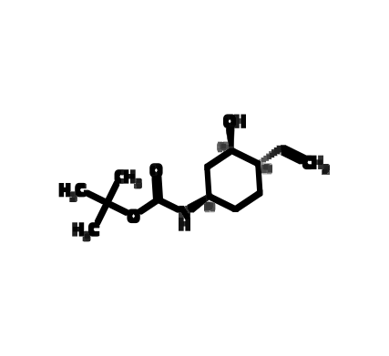 C=C[C@@H]1CC[C@@H](NC(=O)OC(C)(C)C)C[C@H]1O